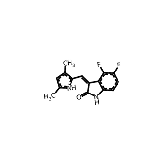 Cc1cc(C)c(/C=C2\C(=O)Nc3ccc(F)c(F)c32)[nH]1